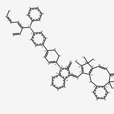 C=C/C(=C\C=C/C)N(c1ccccc1)c1ccc(C2=CC=C(n3c(=C)/c(=C\C4=C(C)C(C)(C)C5=C4Cc4ccccc4C(C)(C)C(=C)/C=C\5)c4ccccc43)CC2)cc1